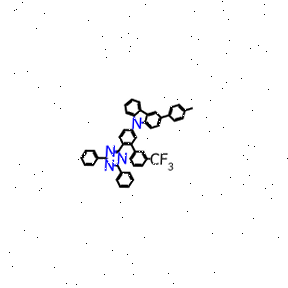 Cc1ccc(-c2ccc3c(c2)c2ccccc2n3-c2ccc(-c3nc(-c4ccccc4)nc(-c4ccccc4)n3)c(-c3cccc(C(F)(F)F)c3)c2)cc1